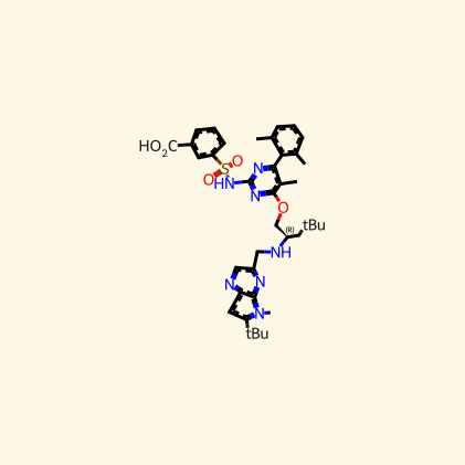 Cc1cccc(C)c1-c1nc(NS(=O)(=O)c2cccc(C(=O)O)c2)nc(OC[C@@H](CC(C)(C)C)NCc2cnc3cc(C(C)(C)C)n(C)c3n2)c1C